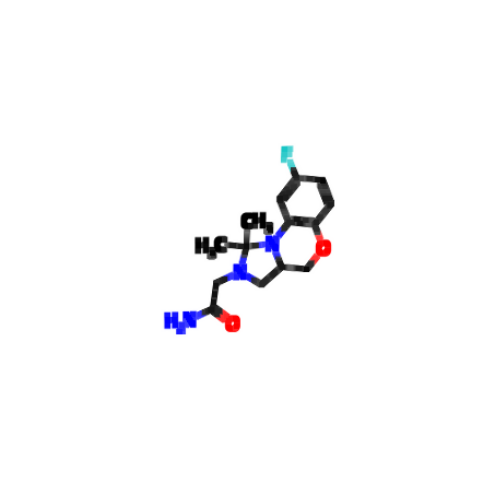 CC1(C)N(CC(N)=O)CC2COc3ccc(F)cc3N21